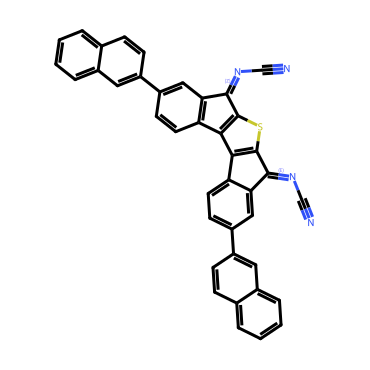 N#C/N=c1/c2cc(-c3ccc4ccccc4c3)ccc2c2c1sc1/c(=N/C#N)c3cc(-c4ccc5ccccc5c4)ccc3c12